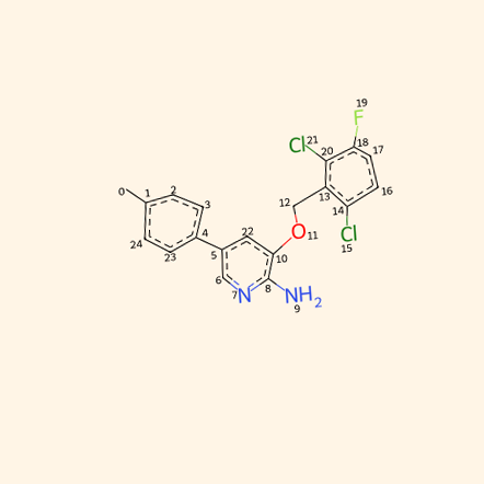 Cc1ccc(-c2cnc(N)c(OCc3c(Cl)ccc(F)c3Cl)c2)cc1